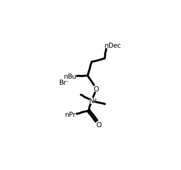 CCCCCCCCCCCCC(CCCC)O[N+](C)(C)C(=O)CCC.[Br-]